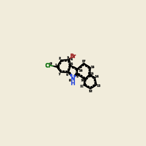 Clc1cc(Br)c2c(c1)[nH]c1c3ccccc3ccc12